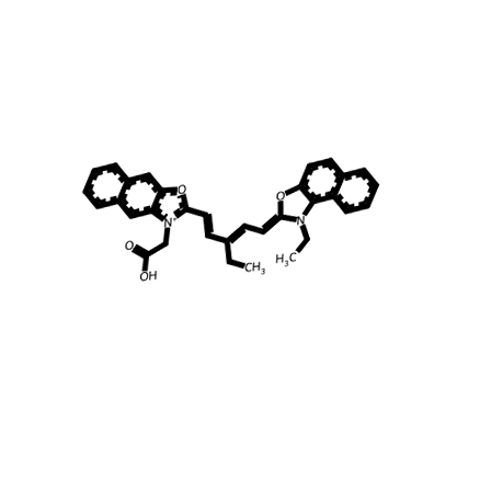 CCC(C=Cc1oc2cc3ccccc3cc2[n+]1CC(=O)O)=CC=C1Oc2ccc3ccccc3c2N1CC